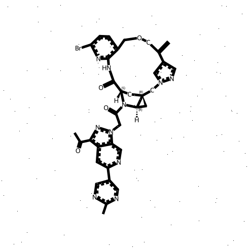 C=C1COCc2ccc(Br)nc2NC(=O)[C@@H]2C[C@]3(C[C@H]3N2C(=O)Cn2nc(C(C)=O)c3cc(-c4cnc(C)nc4)ncc32)Cn2cc1cn2